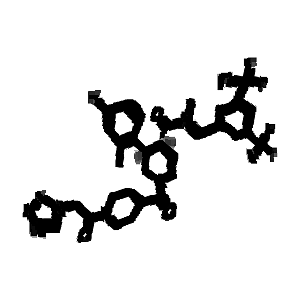 Cc1cc(F)ccc1[C@@H]1CN(C(=O)C2CCN(C(=O)Cn3cnnn3)CC2)CC[C@H]1C(=O)N(C)Cc1cc(C(F)(F)F)cc(C(F)(F)F)c1